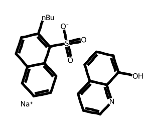 CCCCc1ccc2ccccc2c1S(=O)(=O)[O-].Oc1cccc2cccnc12.[Na+]